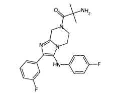 CC(C)(N)C(=O)N1CCn2c(nc(-c3cccc(F)c3)c2Nc2ccc(F)cc2)C1